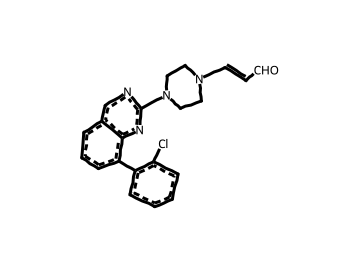 O=CC=CN1CCN(c2ncc3cccc(-c4ccccc4Cl)c3n2)CC1